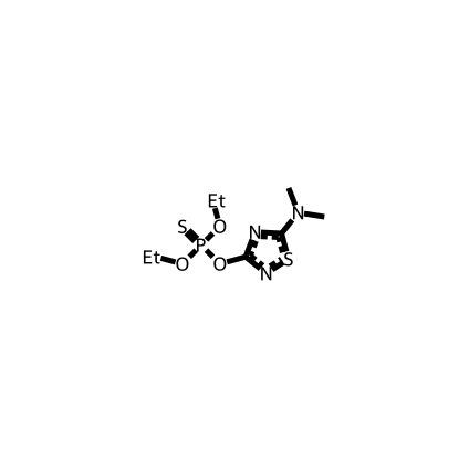 CCOP(=S)(OCC)Oc1nsc(N(C)C)n1